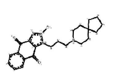 O=C1c2ccccc2C(=O)c2c1n[n+]([O-])n2CCCN1CCC2(CCCC2)CC1